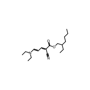 CCCCC(CC)COC(=O)C(C#N)=CC=CN(CC)CC